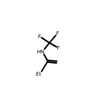 C=C(CC)NC(F)(F)F